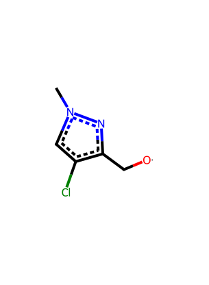 Cn1cc(Cl)c(C[O])n1